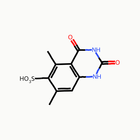 Cc1cc2[nH]c(=O)[nH]c(=O)c2c(C)c1S(=O)(=O)O